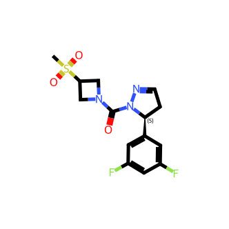 CS(=O)(=O)C1CN(C(=O)N2N=CC[C@H]2c2cc(F)cc(F)c2)C1